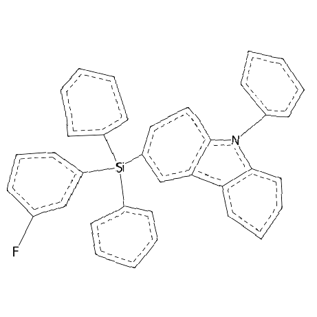 Fc1cccc([Si](c2ccccc2)(c2ccccc2)c2ccc3c(c2)c2ccccc2n3-c2ccccc2)c1